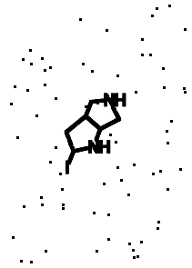 IC1CC2CNCC2N1